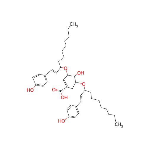 CCCCCCCCC(/C=C/c1ccc(O)cc1)OC1C=C(C(=O)O)CC(OC(/C=C/c2ccc(O)cc2)CCCCCCCC)C1O